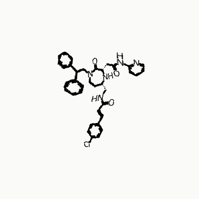 O=C(C=Cc1ccc(Cl)cc1)NC[C@@H]1CCN(CC(c2ccccc2)c2ccccc2)C(=O)[C@H](CC(=O)Nc2ccccn2)N1